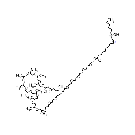 CCCCCC[C@@H](O)C/C=C\CCCCCCCC(=O)OCCOCCOCCOCCOCCOCCOCCOCCOCCOC(C)COC(C)COC(C)COC(C)COC(C)COC(C)COC(C)COC(C)COC(C)COC(C)COC(C)COCCCC